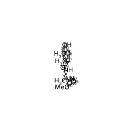 COc1cc(NC(C)CCCNC(=O)COC2CCC3C4CC=C5CC(O)CCC5(C)C4CCC23C)c2ncccc2c1